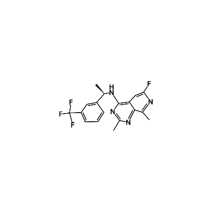 Cc1nc(N[C@H](C)c2cccc(C(F)(F)F)c2)c2cc(F)nc(C)c2n1